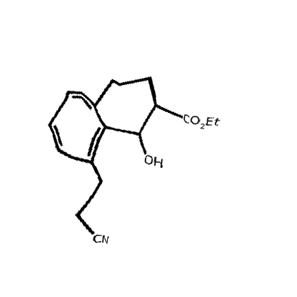 CCOC(=O)C1CCc2cccc(CCC#N)c2C1O